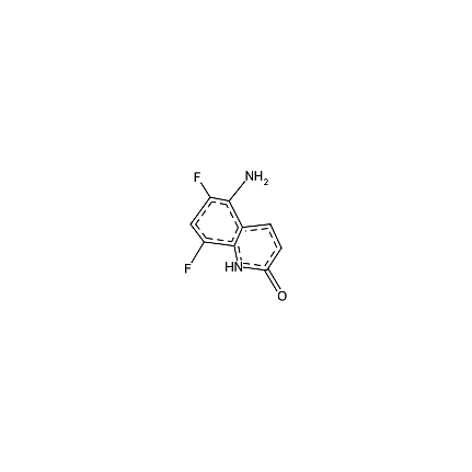 Nc1c(F)cc(F)c2[nH]c(=O)ccc12